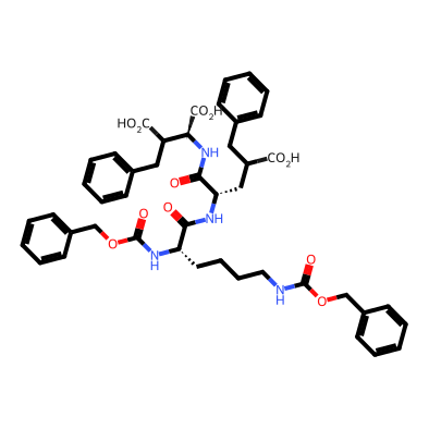 O=C(NCCCC[C@H](NC(=O)OCc1ccccc1)C(=O)N[C@@H](CC(Cc1ccccc1)C(=O)O)C(=O)N[C@H](C(=O)O)C(Cc1ccccc1)C(=O)O)OCc1ccccc1